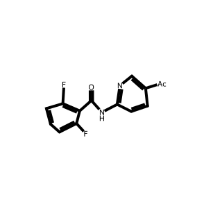 CC(=O)c1ccc(NC(=O)c2c(F)cccc2F)nc1